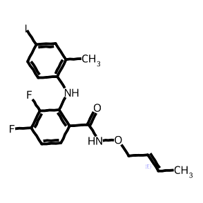 C/C=C/CONC(=O)c1ccc(F)c(F)c1Nc1ccc(I)cc1C